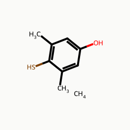 C.Cc1cc(O)cc(C)c1S